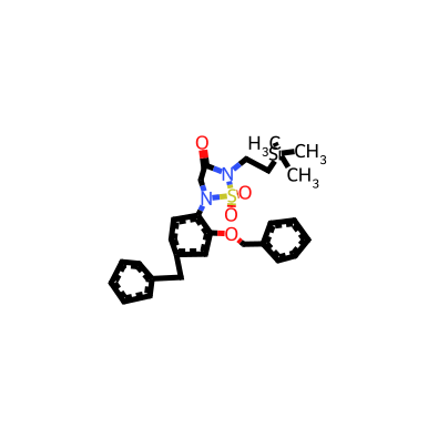 C[Si](C)(C)CCN1C(=O)CN(c2ccc(Cc3ccccc3)cc2OCc2ccccc2)S1(=O)=O